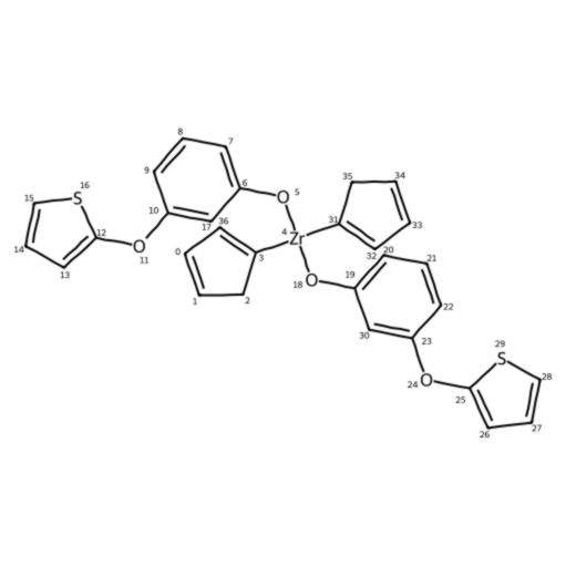 C1=CC[C]([Zr]([O]c2cccc(Oc3cccs3)c2)([O]c2cccc(Oc3cccs3)c2)[C]2=CC=CC2)=C1